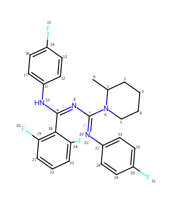 CC1CCCCN1C(/N=C(/Nc1ccc(F)cc1)c1c(F)cccc1F)=N\c1ccc(F)cc1